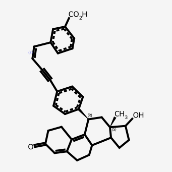 C[C@]12C[C@H](c3ccc(C#C/C=C\c4cccc(C(=O)O)c4)cc3)C3=C4CCC(=O)C=C4CCC3C1CCC2O